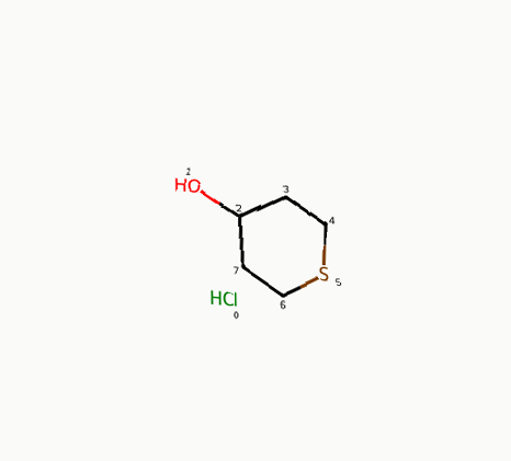 Cl.OC1CCSCC1